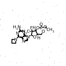 COP1(=O)OC[C@H]2O[C@@H](n3cnc4c(N5CCC5)nc(N)nc43)[C@](C)(F)[C@@H]2O1